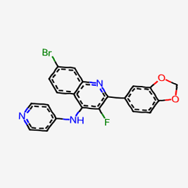 Fc1c(-c2ccc3c(c2)OCO3)nc2cc(Br)ccc2c1Nc1ccncc1